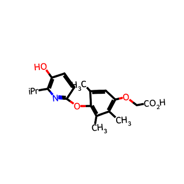 Cc1cc(OCC(=O)O)c(C)c(C)c1Oc1ccc(O)c(C(C)C)n1